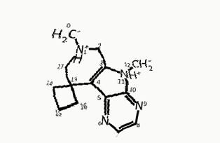 [CH2-][NH+]1CC2=C(c3nccnc3[NH+]2[CH2-])C2(CCC2)C1